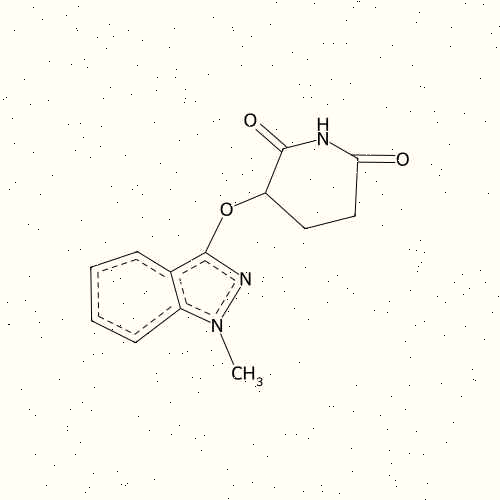 Cn1nc(OC2CCC(=O)NC2=O)c2ccccc21